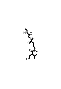 CCNC(=O)CNC(=O)CCCN(C)C(=O)C(CC=O)C(C)C